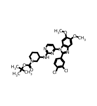 COc1cc2nc(-c3ccc(Cl)c(Cl)c3)n(-c3ccnc(NC4CCCN(C(=O)OC(C)(C)C)C4)n3)c2cc1OC